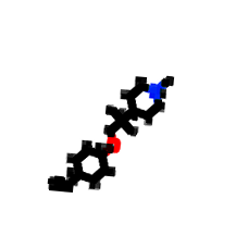 CN1CCC(C(C)(C)COC2CCC(C(C)(C)C)CC2)CC1